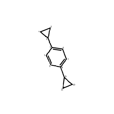 c1cc(C2CC2)ccc1C1CC1